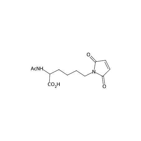 CC(=O)NC(CCCCN1C(=O)C=CC1=O)C(=O)O